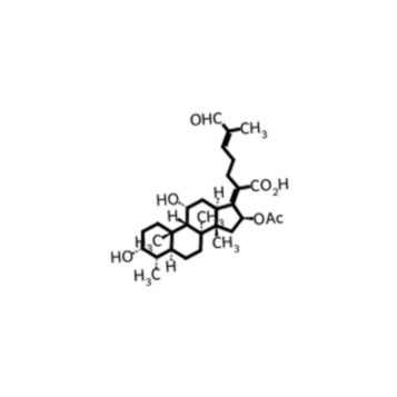 CC(=O)O[C@H]1C[C@@]2(C)[C@@H](C[C@@H](O)[C@H]3[C@@]4(C)CC[C@@H](O)[C@@H](C)[C@@H]4CC[C@@]32C)/C1=C(\CC/C=C(\C)C=O)C(=O)O